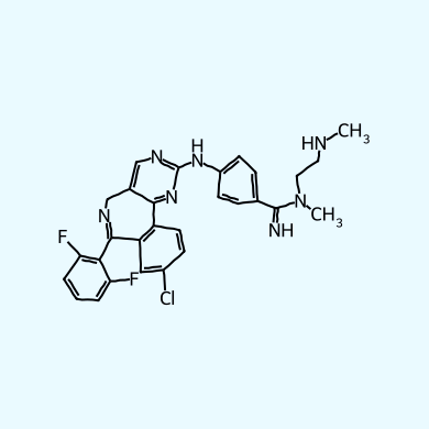 CNCCN(C)C(=N)c1ccc(Nc2ncc3c(n2)-c2ccc(Cl)cc2C(c2c(F)cccc2F)=NC3)cc1